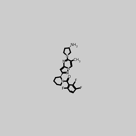 Cc1cn2nc([C@@H]3CCCCN3C(=O)c3c(F)ccc(F)c3F)cc2nc1N1CC[C@H](N)C1